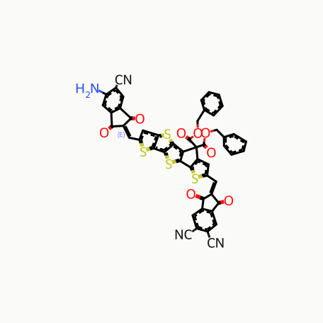 N#Cc1cc2c(cc1N)C(=O)/C(=C/c1cc3sc4c5c(sc4c3s1)-c1sc(C=C3C(=O)c4cc(C#N)c(C#N)cc4C3=O)cc1C5(C(=O)OCc1ccccc1)C(=O)OCc1ccccc1)C2=O